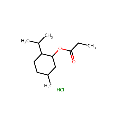 CCC(=O)OC1CC(C)CCC1C(C)C.Cl